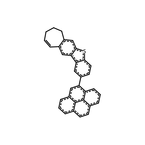 C1=Cc2cc3c(cc2CCC1)sc1ccc(-c2cc4cccc5ccc6cccc2c6c54)cc13